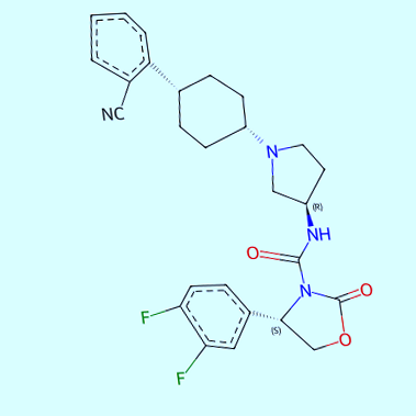 N#Cc1ccccc1[C@H]1CC[C@@H](N2CC[C@@H](NC(=O)N3C(=O)OC[C@@H]3c3ccc(F)c(F)c3)C2)CC1